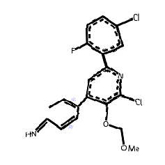 C/C=C(\C=C/C=N)c1cc(-c2cc(Cl)ccc2F)nc(Cl)c1OCOC